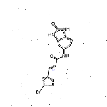 O=C(/C=C/c1ccc(Br)s1)Nc1ccc2[nH]c(=O)[nH]c2c1